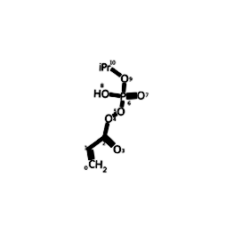 C=CC(=O)OOP(=O)(O)OC(C)C